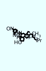 CC(C)CCC[C@@H](C)[C@H]1CCC2C(C/C=N/Nc3ccc(N=O)cc3N=O)C([C@@]3(C)CC[C@H](O)CC3=O)CC[C@@]21C